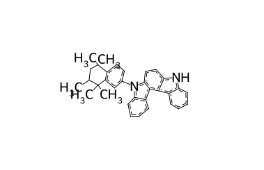 CC1CC(C)(C)c2ccc(-n3c4ccccc4c4c5c(ccc43)[nH]c3ccccc35)cc2C1(C)C